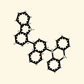 c1ccc2c(c1)Oc1ccccc1N2c1ccc(-c2cccc3c2sc2ccccc23)c2ccccc12